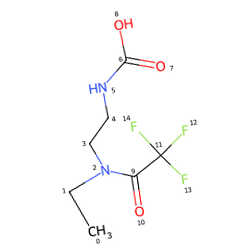 CCN(CCNC(=O)O)C(=O)C(F)(F)F